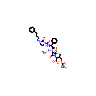 CC(=O)OCC1=C(C(=O)[O-])N2C(=O)C(NC(=O)C(NC(=O)N3CCN(N=CC=Cc4ccccc4)C3=O)c3ccccc3)[C@@H]2SC1.[Na+]